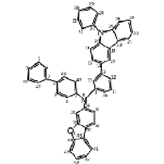 c1ccc(-c2ccc(N(c3cccc(-c4ccc5c(c4)c4ccccc4n5-c4ccccc4)c3)c3ccc4c(c3)oc3ccccc34)cc2)cc1